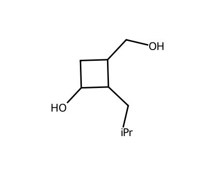 CC(C)CC1C(O)CC1CO